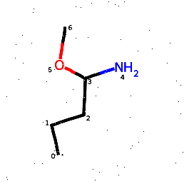 [CH2]CCC(N)OC